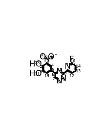 O=[N+]([O-])c1cc(-c2cnnc(-c3cccc(F)n3)n2)cc(O)c1O